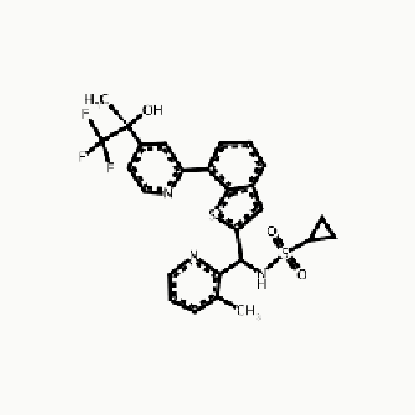 Cc1cccnc1C(NS(=O)(=O)C1CC1)c1cc2cccc(-c3cc([C@@](C)(O)C(F)(F)F)ccn3)c2s1